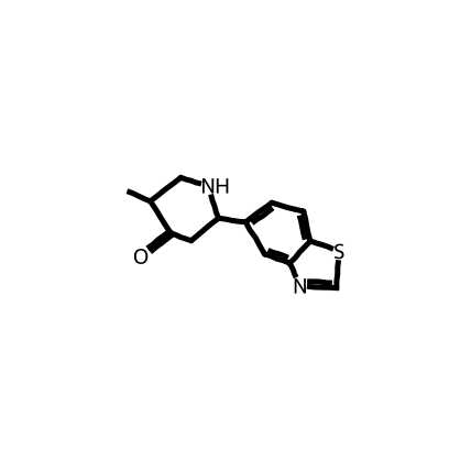 CC1CNC(c2ccc3scnc3c2)CC1=O